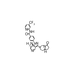 N[N+]12C=CN=CC1=C([C@@H]1CC[C@@H]3CCC(=O)N3C1)N=C2c1ccc(C(=O)Nc2cc(C(F)(F)F)ccn2)cc1